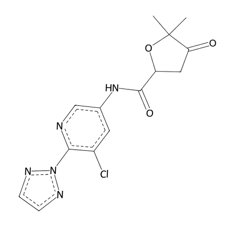 CC1(C)OC(C(=O)Nc2cnc(-n3nccn3)c(Cl)c2)CC1=O